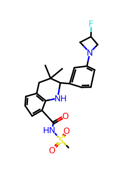 CC1(C)Cc2cccc(C(=O)NS(C)(=O)=O)c2NC1c1cccc(N2CC(F)C2)c1